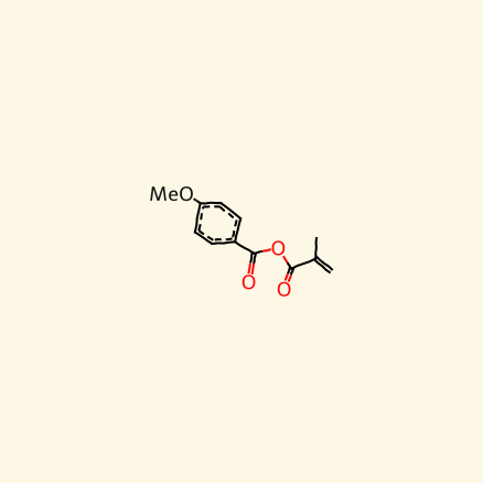 C=C(C)C(=O)OC(=O)c1ccc(OC)cc1